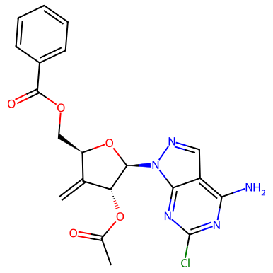 C=C1[C@@H](OC(C)=O)[C@H](n2ncc3c(N)nc(Cl)nc32)O[C@@H]1COC(=O)c1ccccc1